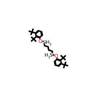 CC(C)(C)c1cccc(O[SiH2]CCCC[SiH2]Oc2cccc(C(C)(C)C)c2C(C)(C)C)c1C(C)(C)C